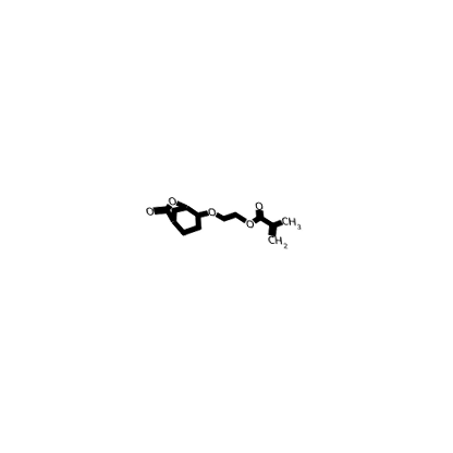 C=C(C)C(=O)OCCOC1CCC2CC1OC2=O